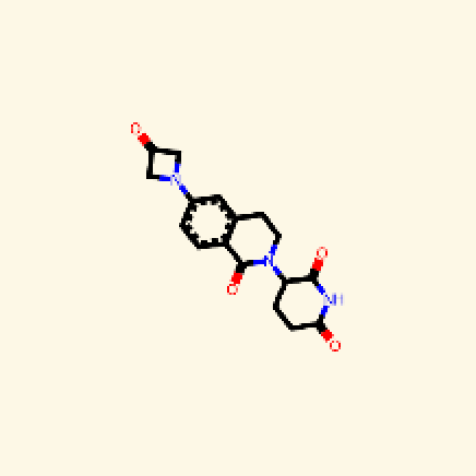 O=C1CN(c2ccc3c(c2)CCN(C2CCC(=O)NC2=O)C3=O)C1